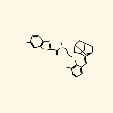 CC(=O)N(CCOc1c(O)cccc1C=C1C2CC3CC(C2)CC1C3)C(=O)c1nc2ccc(O)cc2s1